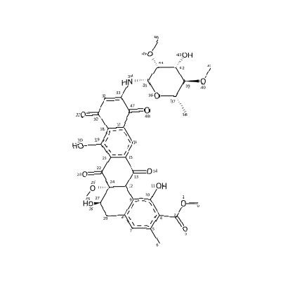 COC(=O)c1c(C)cc2c(c1O)C1C(=O)c3cc4c(c(O)c3C(=O)[C@]1(OC)[C@H](O)C2)C(=O)C=C(N[C@H]1O[C@@H](C)[C@H](OC)[C@@H](O)[C@H]1OC)C4=O